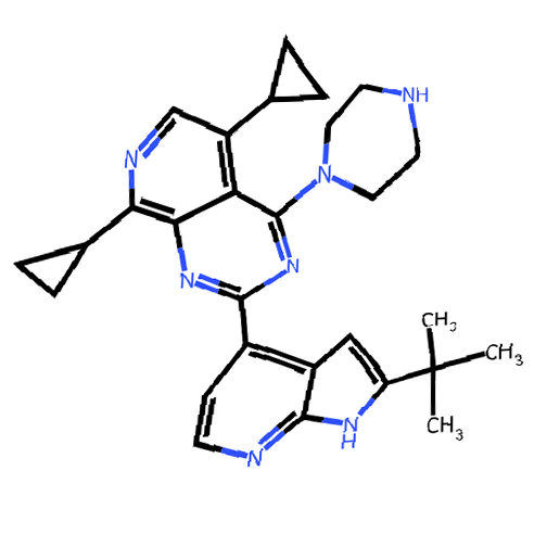 CC(C)(C)c1cc2c(-c3nc(N4CCNCC4)c4c(C5CC5)cnc(C5CC5)c4n3)ccnc2[nH]1